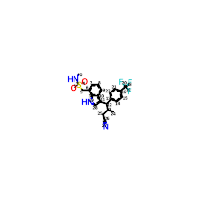 CNS(=O)(=O)Cc1cccc2c(C(c3ccc(C(F)(F)F)cc3)C(C)CC#N)c[nH]c12